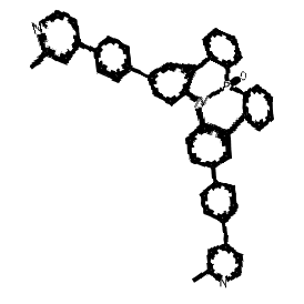 Cc1cc(-c2ccc(-c3ccc4c(c3)-c3ccccc3P3(=O)c5ccccc5-c5cc(-c6ccc(-c7ccnc(C)c7)cc6)ccc5N43)cc2)ccn1